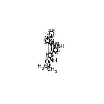 CN(C)CC(=O)Nc1cncc(-c2ccc3[nH]nc(-c4nc5c(N6CCCCC6)nccc5[nH]4)c3c2)c1